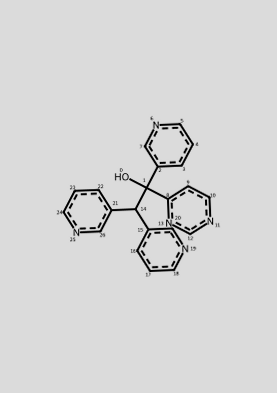 OC(c1cccnc1)(c1ccncn1)C(c1cccnc1)c1cccnc1